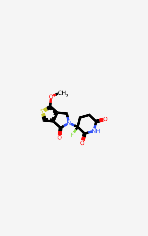 COc1scc2c1CN(C1(F)CCC(=O)NC1=O)C2=O